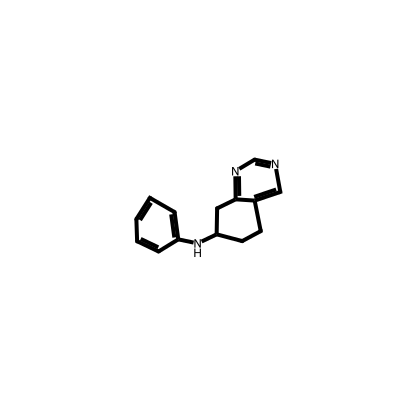 c1ccc(NC2CCc3cncnc3C2)cc1